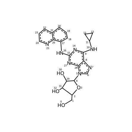 OCC1OC(n2cnc3c(NC4CC4)nc(Nc4cccc5cccnc45)nc32)C(O)C1O